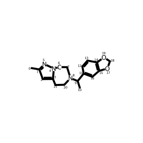 Cc1cc2n(n1)CCN(C(C)c1ccc3c(c1)OCO3)CC2